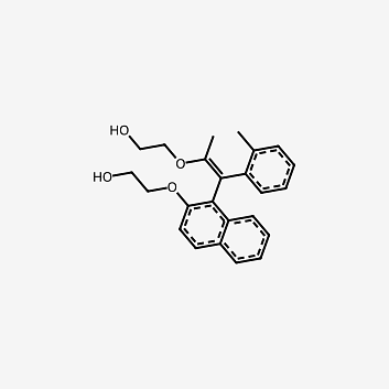 C/C(OCCO)=C(\c1ccccc1C)c1c(OCCO)ccc2ccccc12